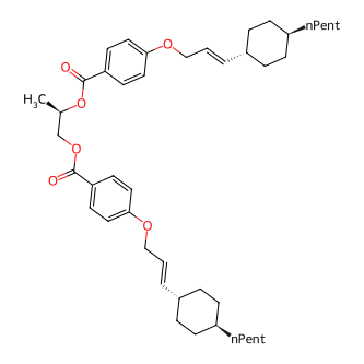 CCCCC[C@H]1CC[C@H](C=CCOc2ccc(C(=O)OC[C@@H](C)OC(=O)c3ccc(OCC=C[C@H]4CC[C@H](CCCCC)CC4)cc3)cc2)CC1